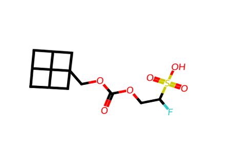 O=C(OCC(F)S(=O)(=O)O)OCC12CC3CC4CC(C1)C432